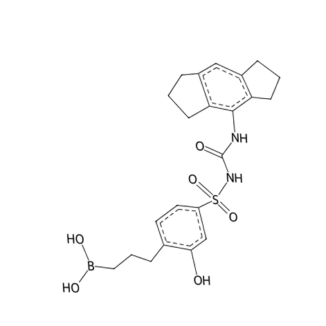 O=C(Nc1c2c(cc3c1CCC3)CCC2)NS(=O)(=O)c1ccc(CCCB(O)O)c(O)c1